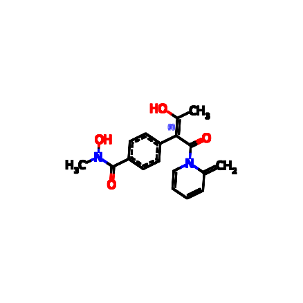 C=C1C=CC=CN1C(=O)/C(=C(\C)O)c1ccc(C(=O)N(C)O)cc1